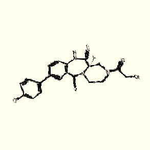 O=C1Nc2ccc(-c3ccc(Cl)cc3)cc2C(=O)N2CCN(C(=O)CO)C[C@H]12